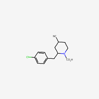 N#CC1CCN(C(=O)O)C(Cc2ccc(Cl)cc2)C1